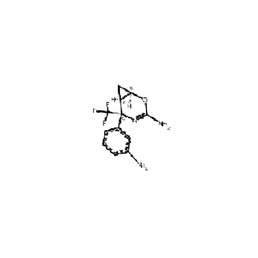 NC1=N[C@@](c2cccc(N)c2)(C(F)(F)F)[C@H]2C[C@H]2O1